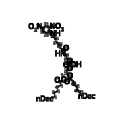 CCCCCCCCCCCCCCCC(=O)OC[C@H](COP(=O)(O)OCCNC(=O)CCCCCNc1ccc([N+](=O)[O-])cc1[N+](=O)[O-])OC(=O)CCCCCCCCCCCCCCC